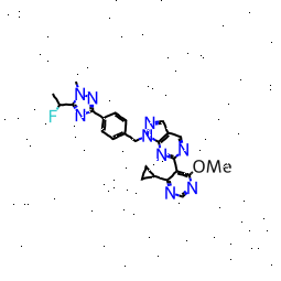 COc1ncnc(C2CC2)c1-c1ncc2cnn(Cc3ccc(-c4nc(C(C)F)n(C)n4)cc3)c2n1